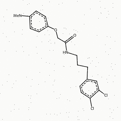 CNc1ccc(OCC(=O)NCCCc2ccc(Cl)c(Cl)c2)cc1